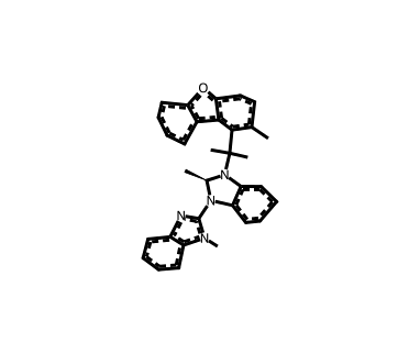 Cc1ccc2oc3ccccc3c2c1C(C)(C)N1c2ccccc2N(c2nc3ccccc3n2C)[C@H]1C